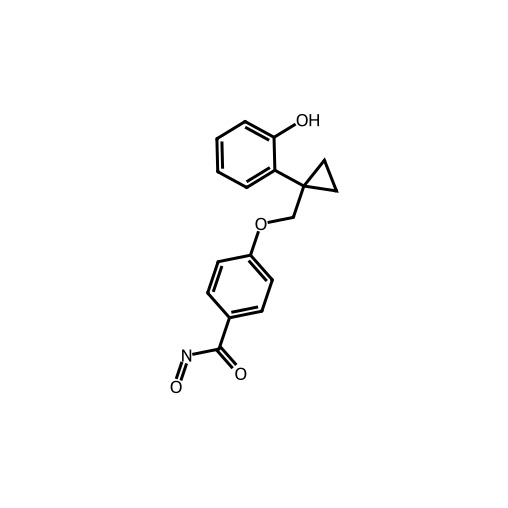 O=NC(=O)c1ccc(OCC2(c3ccccc3O)CC2)cc1